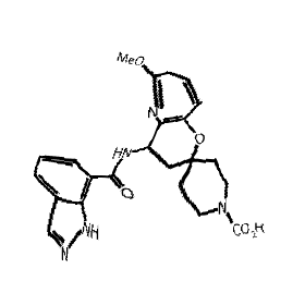 COc1ccc2c(n1)C(NC(=O)c1cccc3cn[nH]c13)CC1(CCN(C(=O)O)CC1)O2